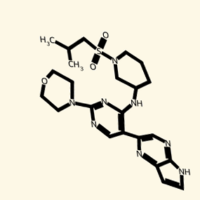 CC(C)CS(=O)(=O)N1CCCC(Nc2nc(N3CCOCC3)ncc2-c2cnc3[nH]ccc3n2)C1